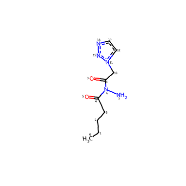 CCCCC(=O)N(N)C(=O)Cn1ccnn1